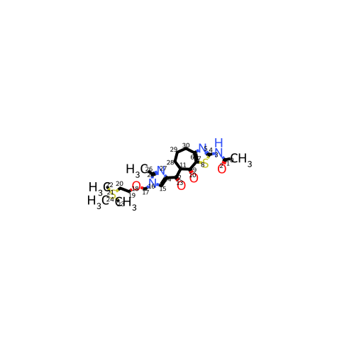 CC(=O)Nc1nc2c(s1)C(=O)C(C(=O)c1cn(COCCS(C)(C)C)c(C)n1)CCC2